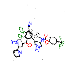 CN(C(=O)OC1CCC(C(F)(F)F)CC1)[C@@H]1CNC[C@H]1c1cc(C#N)c(Cl)c(Cl)c1C(=O)C1CCNC(c2ccccn2)C1